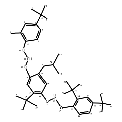 Cc1cc(C(C)(C)C)ccc1OPOc1cc(C(C)(C)C)c(OPOc2ccc(C(C)(C)C)cc2C(C)(C)C)cc1CC(C)C